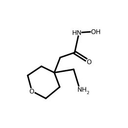 NCC1(CC(=O)NO)CCOCC1